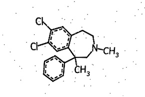 CN1CCc2cc(Cl)c(Cl)cc2C(C)(c2ccccc2)C1